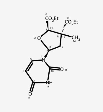 CCOC(=O)[C@@H]1O[C@H](n2ccc(=O)[nH]c2=O)C[C@@]1(C)C(=O)OCC